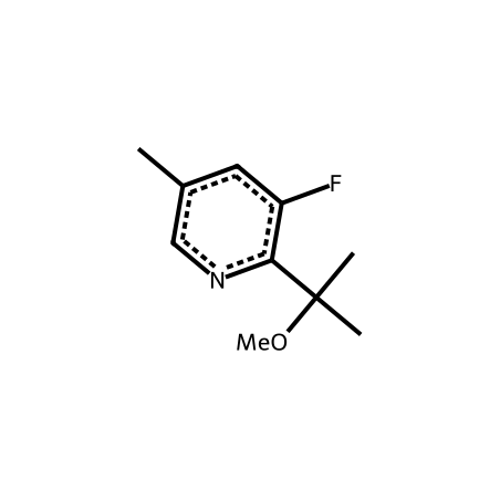 COC(C)(C)c1ncc(C)cc1F